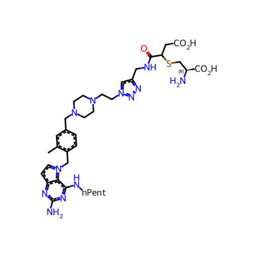 CCCCCNc1nc(N)nc2ccn(Cc3ccc(CN4CCN(CCn5cc(CNC(=O)C(CC(=O)O)SC[C@H](N)C(=O)O)nn5)CC4)cc3C)c12